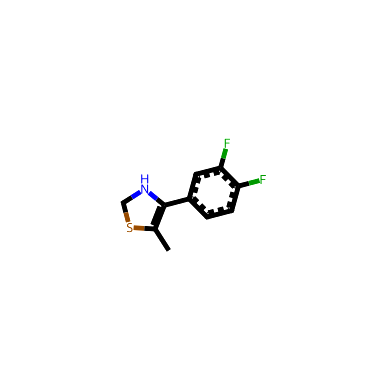 CC1=C(c2ccc(F)c(F)c2)NCS1